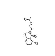 CC(=O)OCCN1COc2cccc(Cl)c2C1=O